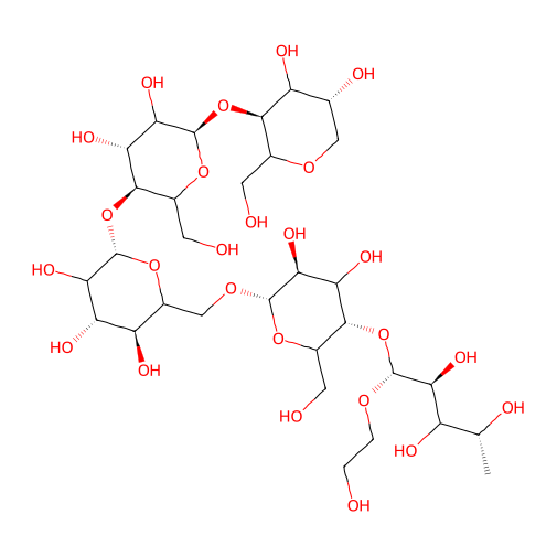 C[C@@H](O)C(O)[C@H](O)[C@H](OCCO)O[C@@H]1C(CO)O[C@H](OCC2O[C@@H](O[C@@H]3C(CO)O[C@H](O[C@@H]4C(CO)OC[C@@H](O)C4O)C(O)[C@H]3O)C(O)[C@@H](O)[C@@H]2O)[C@@H](O)C1O